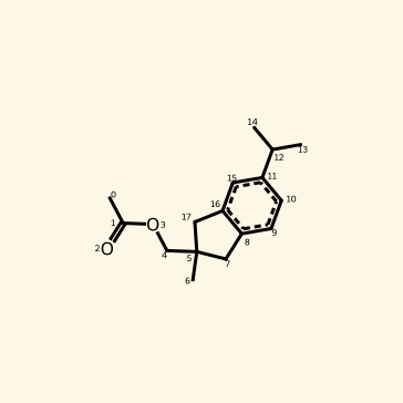 CC(=O)OCC1(C)Cc2ccc(C(C)C)cc2C1